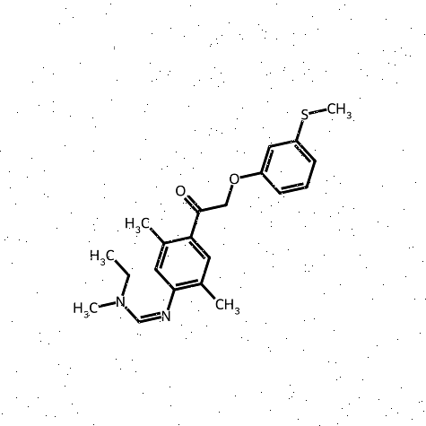 CCN(C)/C=N\c1cc(C)c(C(=O)COc2cccc(SC)c2)cc1C